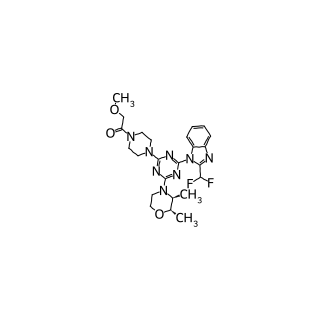 COCC(=O)N1CCN(c2nc(N3CCO[C@H](C)[C@@H]3C)nc(-n3c(C(F)F)nc4ccccc43)n2)CC1